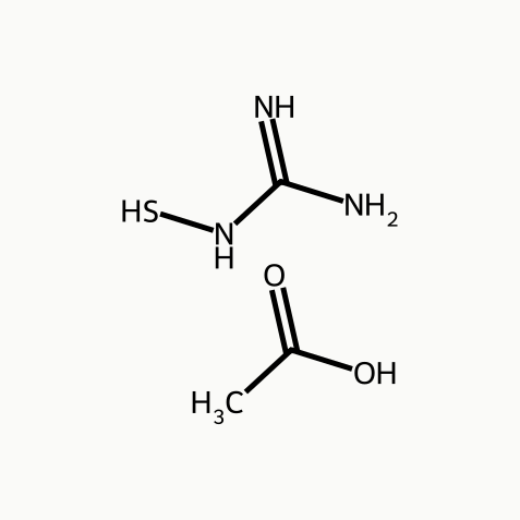 CC(=O)O.N=C(N)NS